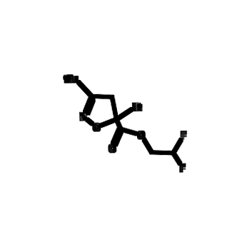 CCC1(C(=O)OCC(F)F)CC(C(C)(C)C)=NO1